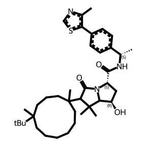 Cc1ncsc1-c1ccc([C@H](C)NC(=O)[C@@H]2C[C@@H](O)C3N2C(=O)C(C2(C)CCCCCCC(C)(C(C)(C)C)CCC2)C3(C)C)cc1